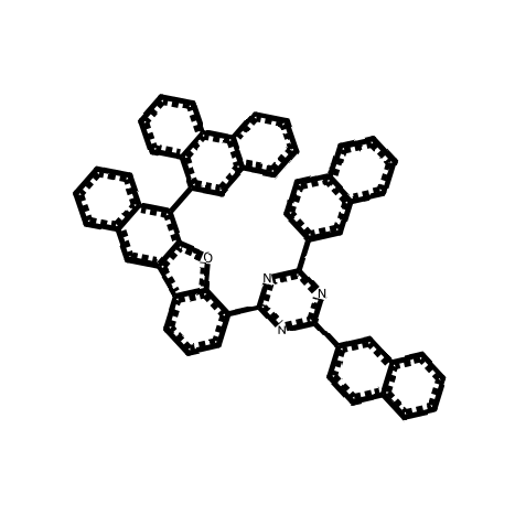 c1ccc2cc(-c3nc(-c4ccc5ccccc5c4)nc(-c4cccc5c4oc4c(-c6cc7ccccc7c7ccccc67)c6ccccc6cc45)n3)ccc2c1